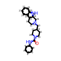 O=C(Nc1ccccc1)N1CCC(CN2CCc3c([nH]c4ccccc34)C2)CC1